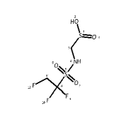 O=S(O)CNS(=O)(=O)C(F)(F)CF